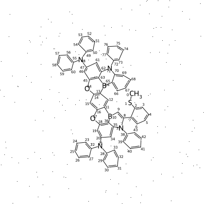 CSc1ccccc1C1=CB2c3cc4c(cc3Oc3cc(N(c5ccccc5)c5ccccc5)cc(c32)N1c1ccccc1)Oc1cc(N(c2ccccc2)c2ccccc2)cc2c1B4c1ccccc1N2c1ccccc1